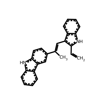 C=Cc1[nH]c2ccccc2c1/C=C(\C)c1ccc2[nH]c3ccccc3c2c1